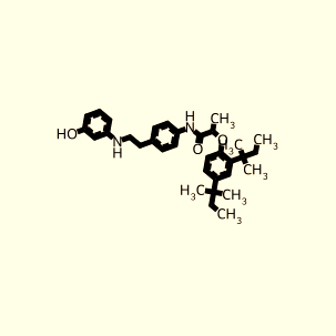 CCC(C)(C)c1ccc(OC(C)C(=O)Nc2ccc(CCNc3cccc(O)c3)cc2)c(C(C)(C)CC)c1